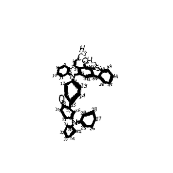 C/C=C\c1c(N(c2ccccc2)c2ccc3c(c2)oc2ccc(N(C4=CCCC=C4)c4ccccc4)cc23)cc2c(sc3ccccc32)c1C